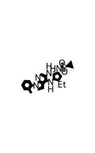 CCC1CC(NS(=O)(=O)C2CC2)CC1Nc1c(N)cnc2c1ccn2-c1ccccc1C